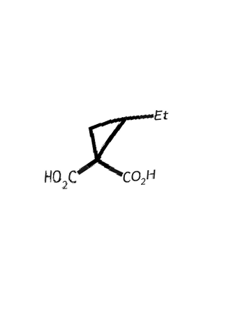 CCC1CC1(C(=O)O)C(=O)O